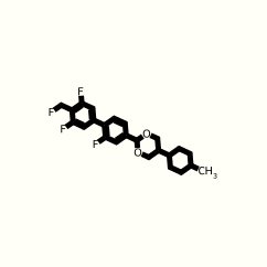 CC1CCC(C2COC(c3ccc(-c4cc(F)c(CF)c(F)c4)c(F)c3)OC2)CC1